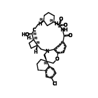 O=C1NS(=O)(=O)[C@@H]2CCC[C@@H](CC[C@H](O)[C@@H]3CC[C@H]3CN3C[C@@]4(CCCc5cc(Cl)ccc54)COc4ccc1cc43)C2